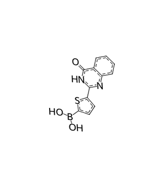 O=c1[nH]c(-c2ccc(B(O)O)s2)nc2ccccc12